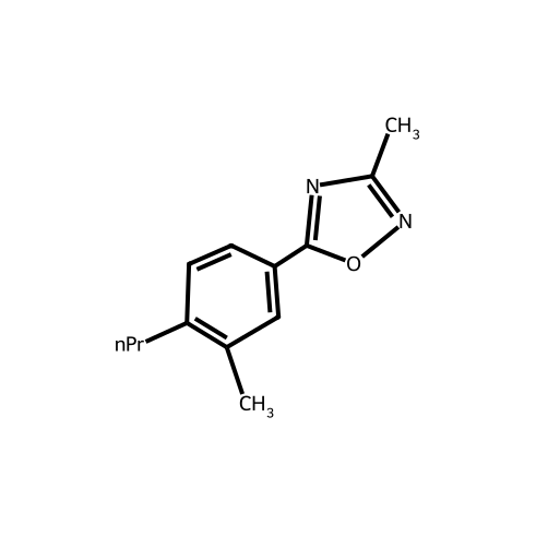 CCCc1ccc(-c2nc(C)no2)cc1C